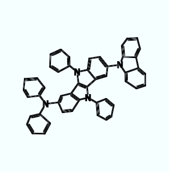 c1ccc(N(c2ccccc2)c2ccc3c(c2)c2c(c4cc(-n5c6ccccc6c6ccccc65)ccc4n2-c2ccccc2)n3-c2ccccc2)cc1